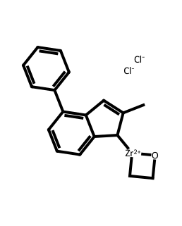 CC1=Cc2c(-c3ccccc3)cccc2[CH]1[Zr+2]1[CH2]C[O]1.[Cl-].[Cl-]